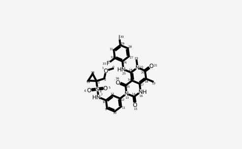 COCC1(S(=O)(=O)Nc2cccc(-n3c(=O)[nH]c4c(C)c(=O)n(C)c(Nc5ccc(I)cc5F)c4c3=O)c2)CC1